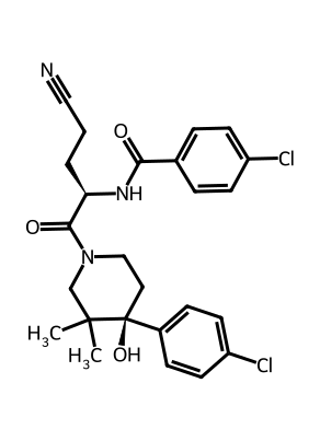 CC1(C)CN(C(=O)[C@@H](CCC#N)NC(=O)c2ccc(Cl)cc2)CC[C@]1(O)c1ccc(Cl)cc1